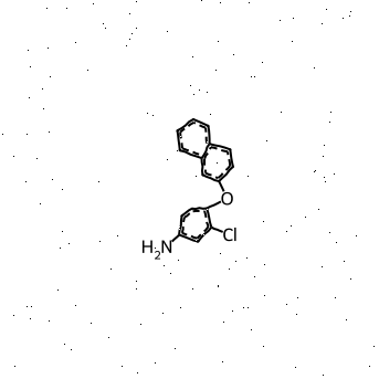 Nc1ccc(Oc2ccc3ccccc3c2)c(Cl)c1